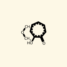 COC.O=c1cccccc1O